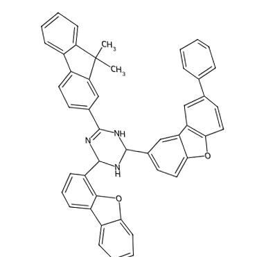 CC1(C)c2ccccc2-c2ccc(C3=NC(c4cccc5c4oc4ccccc45)NC(c4ccc5oc6ccc(-c7ccccc7)cc6c5c4)N3)cc21